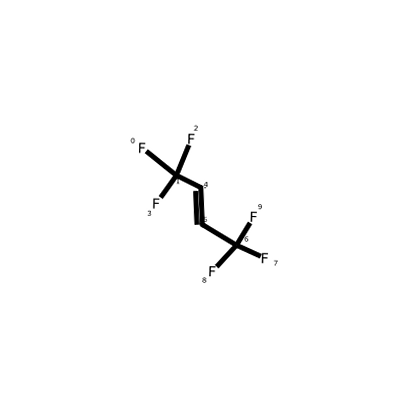 FC(F)(F)/[C]=C/C(F)(F)F